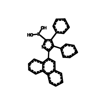 OB(O)c1sc(-c2cc3ccccc3c3ccccc23)c(-c2ccccc2)c1-c1ccccc1